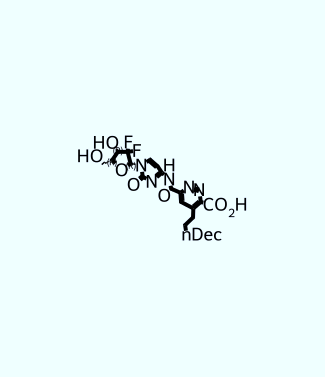 CCCCCCCCCCCCc1cc(C(=O)Nc2ccn([C@@H]3O[C@H](CO)[C@@H](O)C3(F)F)c(=O)n2)nnc1C(=O)O